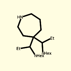 CCCCCCC(CC)C1(C(CC)CCCCCC)CCCNCC1